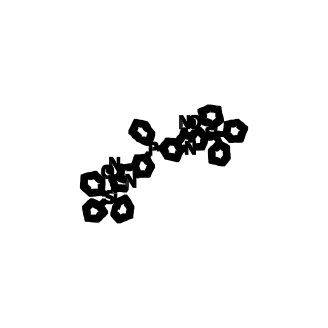 c1ccc(P(c2ccc3c(c2)c2noc4c([Si](c5ccccc5)(c5ccccc5)c5ccccc5)cn3c42)c2ccc3c(c2)c2noc4c([Si](c5ccccc5)(c5ccccc5)c5ccccc5)cn3c42)cc1